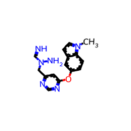 Cn1ccc2cc(Oc3cc(CN(N)C=N)ncn3)ccc21